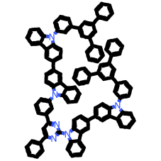 c1ccc(-c2cc(-c3ccccc3)cc(-c3cccc(-n4c5ccccc5c5cc(-c6ccc7c(c6)c6ccccc6n7-c6cccc(-c7cc(-c8ccccc8)nc(-n8c9ccccc9c9cc(-c%10ccc%11c(c%10)c%10ccccc%10n%11-c%10cccc(-c%11cc(-c%12ccccc%12)cc(-c%12ccccc%12)c%11)c%10)ccc98)n7)c6)ccc54)c3)c2)cc1